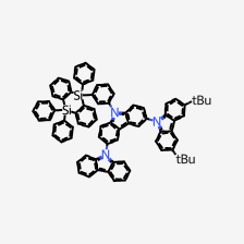 CC(C)(C)c1ccc2c(c1)c1cc(C(C)(C)C)ccc1n2-c1ccc2c(c1)c1cc(-n3c4ccccc4c4ccccc43)ccc1n2-c1cccc([Si]2(c3ccccc3)c3ccccc3[Si](c3ccccc3)(c3ccccc3)c3ccccc32)c1